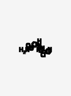 NC(=O)O[C@H]1CCC[C@@H](Nc2ncc(Cl)c(-c3cccnc3)n2)C1